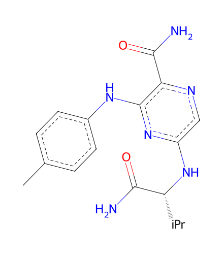 Cc1ccc(Nc2nc(N[C@@H](C(N)=O)C(C)C)cnc2C(N)=O)cc1